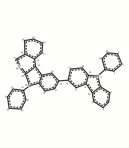 c1ccc(-n2c3ccccc3c3cc(-c4ccc5c(c4)c4c6ccccc6ccc4n5-c4ccccc4)ccc32)cc1